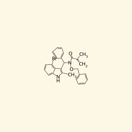 C=C(C)C(=O)N(OCc1ccccc1)C(c1ccccc1)c1c(C)[nH]c2cccc(Br)c12